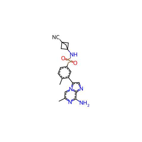 Cc1cn2c(-c3cc(S(=O)(=O)NC45CC(C#N)(C4)C5)ccc3C)cnc2c(N)n1